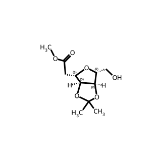 COC(=O)C[C@@H]1O[C@H](CO)[C@H]2OC(C)(C)O[C@H]21